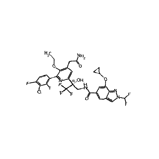 CCOc1c(CC(N)=O)cc([C@@](O)(CNC(=O)c2cc(OC3CC3)c3nn(C(F)F)cc3c2)C(F)(F)F)nc1-c1ccc(F)c(Cl)c1F